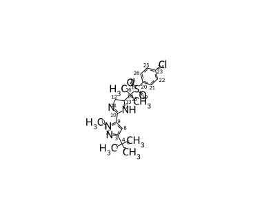 Cn1nc(C(C)(C)C)cc1C1=NCC(C(C)(C)S(=O)(=O)c2ccc(Cl)cc2)N1